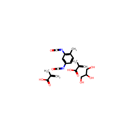 C=C(C)C(=O)O.C=C(C)C(=O)O.Cc1ccc(N=C=O)cc1N=C=O.OCC(O)CO